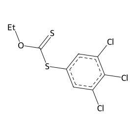 CCOC(=S)Sc1cc(Cl)c(Cl)c(Cl)c1